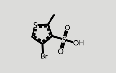 Cc1scc(Br)c1S(=O)(=O)O